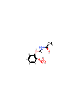 CC(=O)NC[B]c1ccccc1.O.O